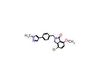 COc1ccc(Br)c2c1C(=O)N(Cc1ccc(-c3cnn(C)c3)cc1)C2